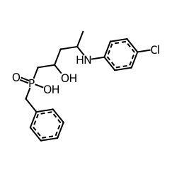 CC(CC(O)CP(=O)(O)Cc1ccccc1)Nc1ccc(Cl)cc1